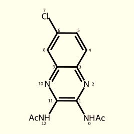 CC(=O)Nc1nc2ccc(Cl)cc2nc1NC(C)=O